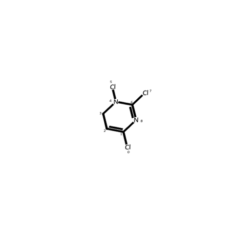 ClC1=CCN(Cl)C(Cl)=N1